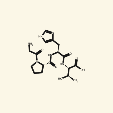 C[C@@H](O)[C@H](NC(=O)[C@H](Cc1c[nH]cn1)NC(=O)[C@@H]1CCCN1C(=O)CN)C(=O)O